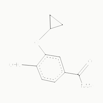 CNC(=O)c1ccc(C=O)c(OC2CC2)c1